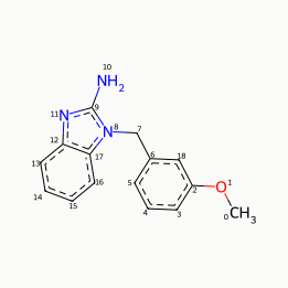 COc1cccc(Cn2c(N)nc3ccccc32)c1